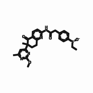 CC[S+]([O-])c1ccc(CC(=O)Nc2ccc3c(n2)CCC(C)(c2cc(C)nc(OC)n2)C3=O)cc1